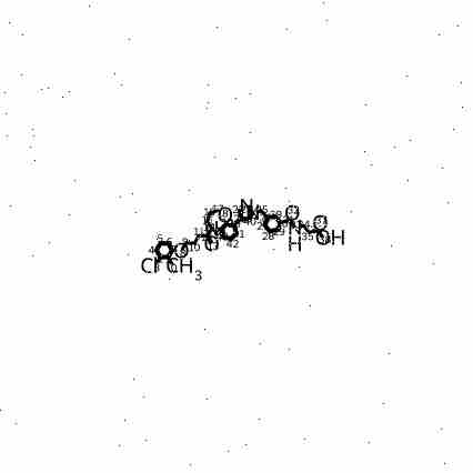 Cc1c(Cl)cccc1OCCCC(=O)N1CCCOc2c(-c3cnn(Cc4cccc(C(=O)NCCC(=O)O)c4)c3)cccc21